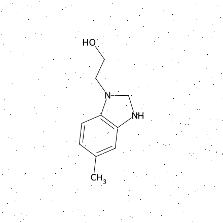 Cc1ccc2c(c1)N[CH]N2CCO